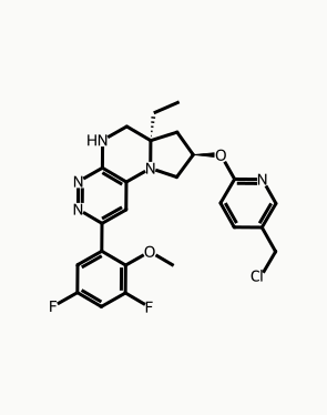 CC[C@@]12CNc3nnc(-c4cc(F)cc(F)c4OC)cc3N1C[C@H](Oc1ccc(CCl)cn1)C2